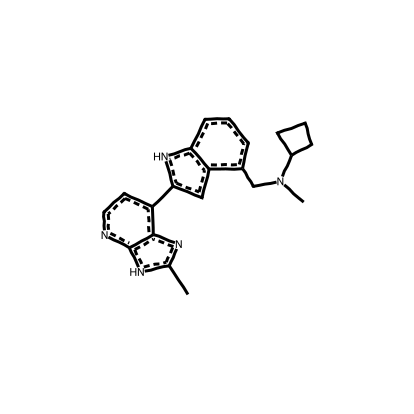 Cc1nc2c(-c3cc4c(CN(C)C5CCC5)cccc4[nH]3)ccnc2[nH]1